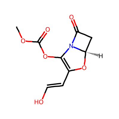 COC(=O)OC1=C(C=CO)O[C@@H]2CC(=O)N12